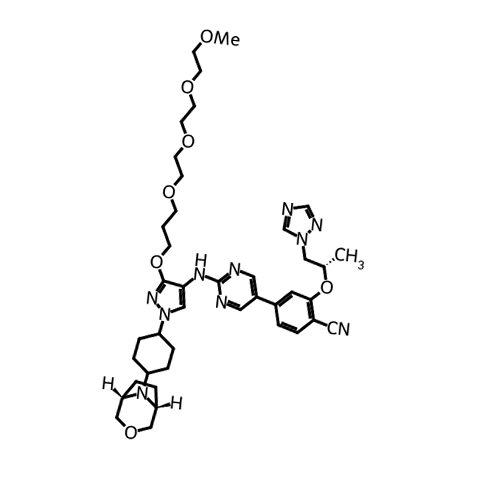 COCCOCCOCCOCCCOc1nn(C2CCC(N3[C@@H]4CC[C@H]3COC4)CC2)cc1Nc1ncc(-c2ccc(C#N)c(O[C@@H](C)Cn3cncn3)c2)cn1